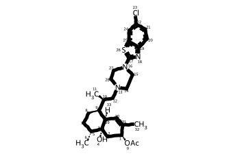 CC(=O)O[C@@H]1[C][C@@]2(O)[C@H](C)CC[C@@H]([C@@H](C)CN3CCN(c4nc5ccc(Cl)cc5s4)CC3)[C@H]2C=C1C